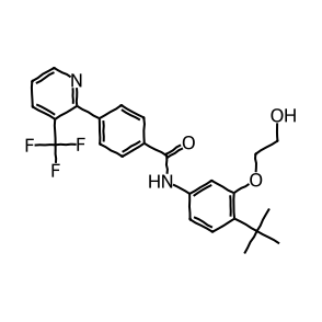 CC(C)(C)c1ccc(NC(=O)c2ccc(-c3ncccc3C(F)(F)F)cc2)cc1OCCO